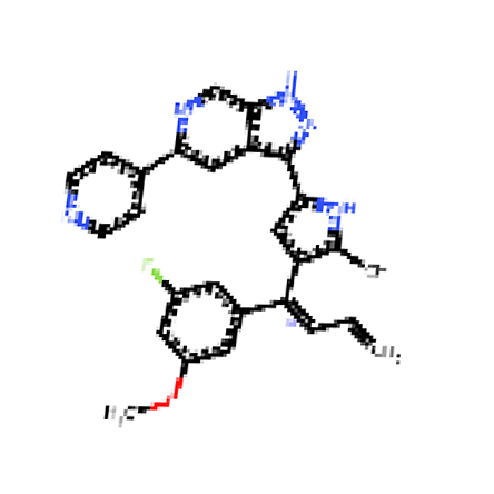 C=C/C=C(/c1cc(F)cc(OC)c1)c1cc(-c2n[nH]c3cnc(-c4ccncc4)cc23)[nH]c1C